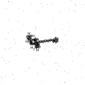 Nc1nc2c(ncn2C2OC3COP(=O)(O)OC4C(COP(=O)(O)OC3C2O)OC(n2cnc3c(=O)[nH]c(N)nc32)C4NC(=O)CCOCCOCCOCCOCCOCCC(=O)Oc2c(F)c(F)c(F)c(F)c2F)c(=O)[nH]1